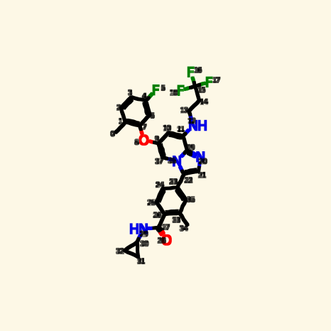 Cc1ccc(F)cc1Oc1cc(NCCC(F)(F)F)c2ncc(-c3ccc(C(=O)NC4CC4)c(C)c3)n2c1